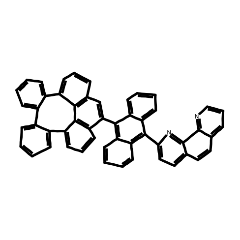 c1cnc2c(c1)ccc1ccc(-c3c4ccccc4c(-c4cc5cccc6c7ccccc7c7ccccc7c7cccc4c7c56)c4ccccc34)nc12